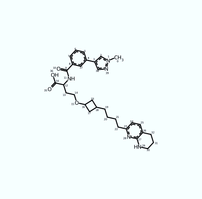 Cn1cc(-c2cccc(C(=O)NC(CCOC3CC(CCCCc4ccc5c(n4)NCCC5)C3)C(=O)O)c2)cn1